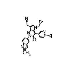 Cn1cc2cc(-n3nc4c(CC#N)cn(CC5CC5)c4c(-c4ccc(C5CC5)nc4)c3=O)ccc2n1